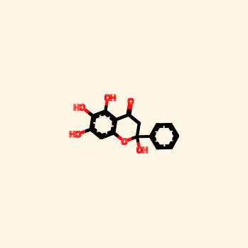 O=C1CC(O)(c2ccccc2)Oc2cc(O)c(O)c(O)c21